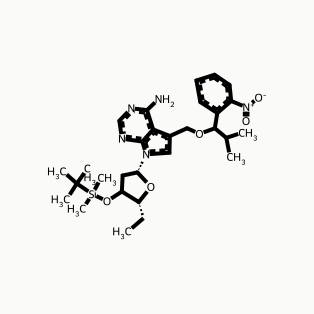 CC[C@H]1O[C@@H](n2cc(COC(c3ccccc3[N+](=O)[O-])C(C)C)c3c(N)ncnc32)CC1O[Si](C)(C)C(C)(C)C